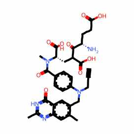 C#CCN(Cc1cc2c(=O)[nH]c(C)nc2cc1C)c1ccc(C(=O)N(C)[C@@H](CC(C(=O)O)C(=O)[C@@H](N)CCC(=O)O)C(=O)O)cc1